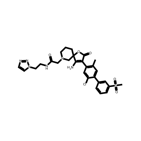 Cc1cc(-c2cccc(S(C)(=O)=O)c2)c(Cl)cc1C1=C(N)C2(CCCN(CC(=O)NCCn3ccnn3)C2)OC1=O